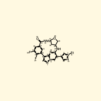 CCn1cc(-c2cn3ncc(-c4cc(C(=O)NC)cc(F)c4F)c3nc2NC2CCOC2)cn1